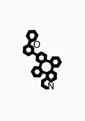 c1ccc2c(c1)-c1ccc(-c3cccc4c3oc3ccccc34)cc1-c1ccccc1-c1c-2ccc2ncccc12